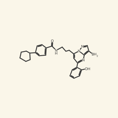 Bc1cnn2c(CCCNC(=O)c3ccc(C4CCCCC4)cc3)cc(-c3ccccc3O)nc12